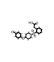 O=C(O)Cc1ccccc1S(=O)(=O)N1CCC(Oc2ccc(Cl)cc2)CC1